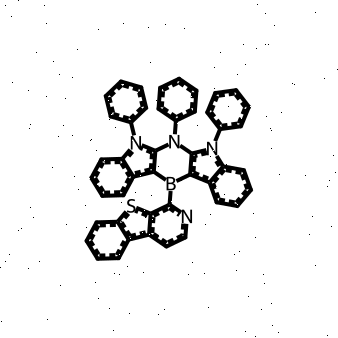 c1ccc(N2c3c(c4ccccc4n3-c3ccccc3)B(c3nccc4c3sc3ccccc34)c3c2n(-c2ccccc2)c2ccccc32)cc1